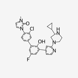 Cn1ccn(-c2ccc(-c3cc(F)cc(-c4ccnc(N5CCNC(C6CC6)C5)c4)c3O)cc2Cl)c1=O